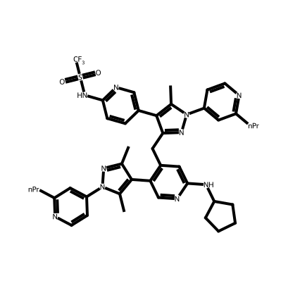 CCCc1cc(-n2nc(C)c(-c3cnc(NC4CCCC4)cc3Cc3nn(-c4ccnc(CCC)c4)c(C)c3-c3ccc(NS(=O)(=O)C(F)(F)F)nc3)c2C)ccn1